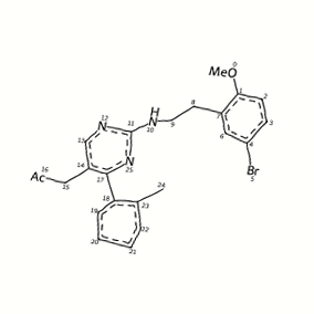 COc1ccc(Br)cc1CCNc1ncc(CC(C)=O)c(-c2ccccc2C)n1